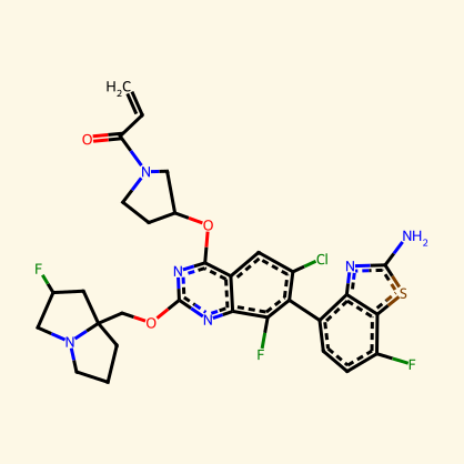 C=CC(=O)N1CCC(Oc2nc(OCC34CCCN3CC(F)C4)nc3c(F)c(-c4ccc(F)c5sc(N)nc45)c(Cl)cc23)C1